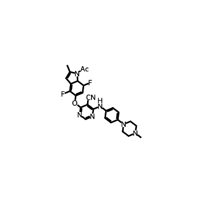 CC(=O)N1C(C)=CC2=C(F)C(Oc3ncnc(Nc4ccc(N5CCN(C)CC5)cc4)c3C#N)=CC(F)C21